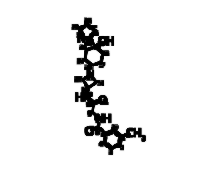 Cc1cccc(C(=O)NCC(=O)NC2CN([C@H]3CC[C@@](O)(c4nccs4)CC3)C2)c1